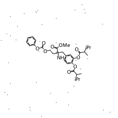 COC(=O)[C@@](N)(CCOC(=O)Oc1ccccc1)Cc1ccc(OC(=O)C(C)C(C)C)c(OC(=O)C(C)C(C)C)c1